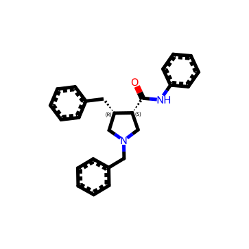 O=C(Nc1ccccc1)[C@@H]1CN(Cc2ccccc2)C[C@@H]1Cc1ccccc1